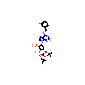 CC(C)(C)OC(=O)N(OC(C)(C)C)[C@H]1C[C@@H](n2cnc3c(NCc4cccc(I)c4)nc(Cl)nc32)[C@H](O)[C@@H]1O